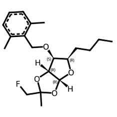 CCCC[C@H]1O[C@@H]2OC(C)(CF)O[C@@H]2[C@H]1OCc1c(C)cccc1C